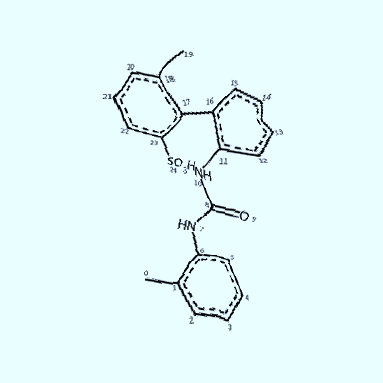 Cc1ccccc1NC(=O)Nc1ccccc1-c1c(C)cccc1S(=O)(=O)O